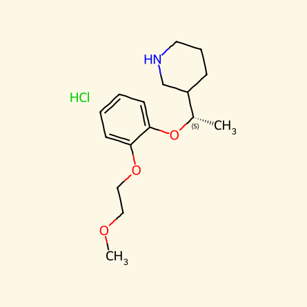 COCCOc1ccccc1O[C@@H](C)C1CCCNC1.Cl